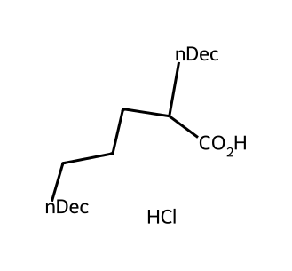 CCCCCCCCCCCCCC(CCCCCCCCCC)C(=O)O.Cl